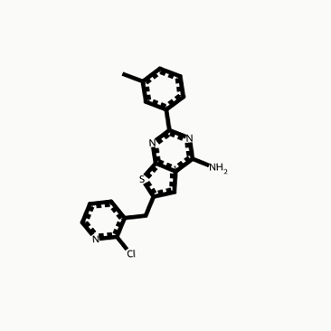 Cc1cccc(-c2nc(N)c3cc(Cc4cccnc4Cl)sc3n2)c1